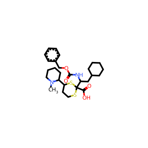 CN1CCCCC1C1CCSC(C(=O)O)(C(CC2CCCCC2)NC(=O)OCc2ccccc2)S1